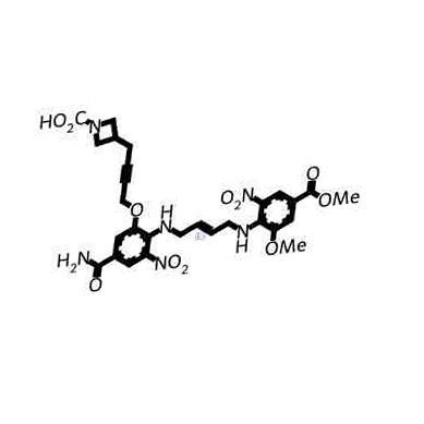 COC(=O)c1cc(OC)c(NC/C=C/CNc2c(OCC#CCC3CN(C(=O)O)C3)cc(C(N)=O)cc2[N+](=O)[O-])c([N+](=O)[O-])c1